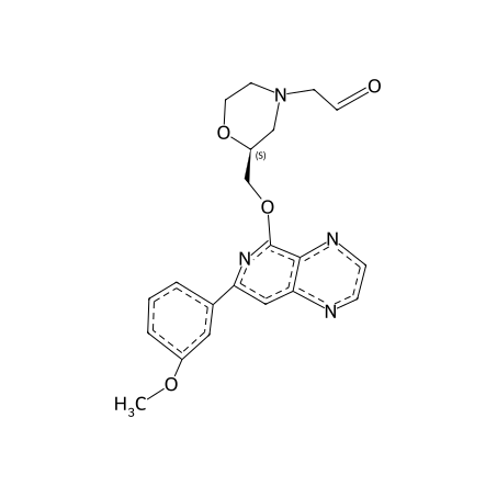 COc1cccc(-c2cc3nccnc3c(OC[C@@H]3CN(CC=O)CCO3)n2)c1